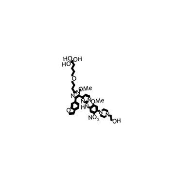 COc1cc(N2CCN(CCO)CC2)c([N+](=O)[O-])cc1Nc1nccc(-c2c(-c3ccc4ccoc4c3)nc(CCCOCCCCC(O)(O)O)n2OC)n1